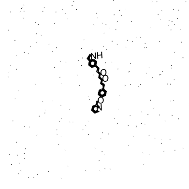 O=C(C=Cc1ccc(OCc2ccccn2)cc1)CC(=O)C=Cc1ccc2cc[nH]c2c1